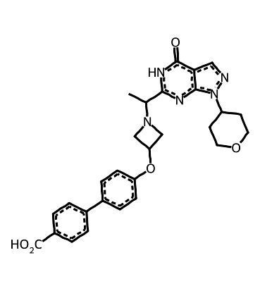 CC(c1nc2c(cnn2C2CCOCC2)c(=O)[nH]1)N1CC(Oc2ccc(-c3ccc(C(=O)O)cc3)cc2)C1